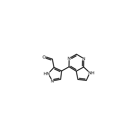 O=Cc1[nH]ncc1-c1ncnc2[nH]ccc12